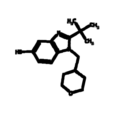 CC(C)(C)c1nc2cc(S)ccc2n1CC1CCOCC1